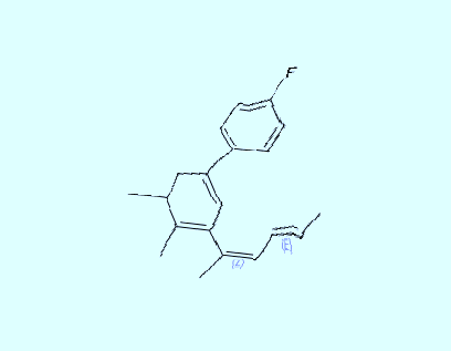 C/C=C/C=C(/C)C1=C(C)C(C)CC(c2ccc(F)cc2)=C1